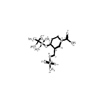 CC(C)(C)[Si](C)(C)OC1CCN(C(=O)O)CC1COS(C)(=O)=O